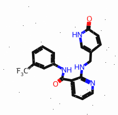 O=C(Nc1cccc(C(F)(F)F)c1)c1cccnc1NCc1ccc(=O)[nH]c1